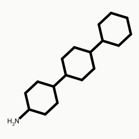 NC1CCC(C2CCC(C3CCCCC3)CC2)CC1